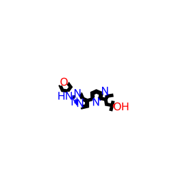 CC1=Nc2ccc(-c3ccn4nc(NC5CCOCC5)ncc34)nc2C1CC(C)(C)O